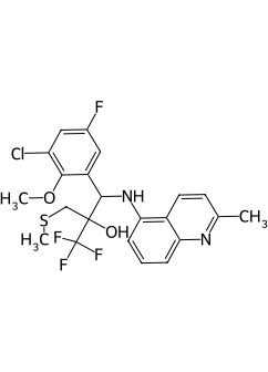 COc1c(Cl)cc(F)cc1C(Nc1cccc2nc(C)ccc12)C(O)(CSC)C(F)(F)F